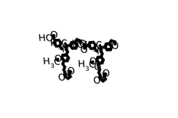 COc1cc(CN(CC2CCC(C(=O)O)CC2)C(C)c2ccc3c(c2)CCO3)ccc1CCCN1C(=O)CCC1=O.COc1cc(CN(CC2CCCC(C(=O)O)C2)C(C)c2ccc3c(c2)CCO3)ccc1OCCN1C(=O)CCC1=O